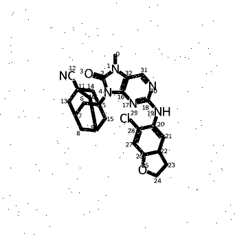 Cn1c(=O)n(C23CC4CC(CC(C#N)(C4)C2)C3)c2nc(NC3=CC4CCOC4C=C3Cl)ncc21